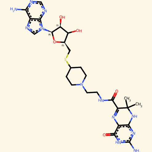 CC1(C)Nc2nc(N)[nH]c(=O)c2N=C1C(=O)NCCN1CCC(SC[C@H]2O[C@@H](n3cnc4c(N)ncnc43)[C@@H](O)C2O)CC1